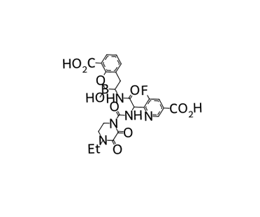 CCN1CCN(C(=O)NC(C(=O)NC2Cc3cccc(C(=O)O)c3OB2O)c2ncc(C(=O)O)cc2F)C(=O)C1=O